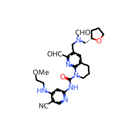 COCCNc1cc(NC(=O)N2CCCc3cc(CN(C=O)C[C@@H]4CCCO4)c(C=O)nc32)ncc1C#N